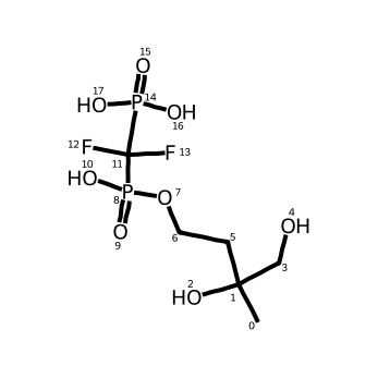 CC(O)(CO)CCOP(=O)(O)C(F)(F)P(=O)(O)O